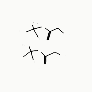 CCCCCCCCCC(C)(OC(=O)CC(=O)[O-])C(C)C.CCCCCCCCCC(C)(OC(=O)CC(=O)[O-])C(C)C.[K+].[Li+]